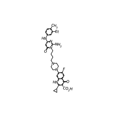 CCc1cc(Nc2cc(=O)n(CCCCN3CCN(c4cc5[nH]c(C6CC6)c(C(=O)O)c(=O)c5cc4F)CC3)c(N)n2)ccc1C